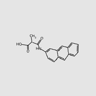 CC(C(=O)O)C(=O)Nc1ccc2cc3ccccc3cc2c1